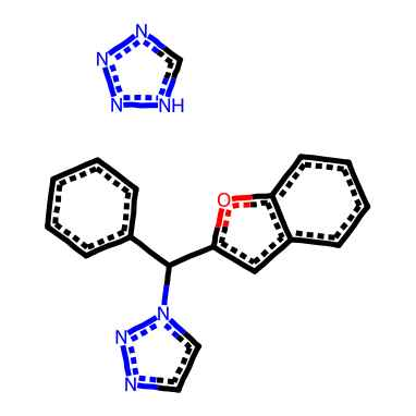 c1ccc(C(c2cc3ccccc3o2)n2ccnn2)cc1.c1nnn[nH]1